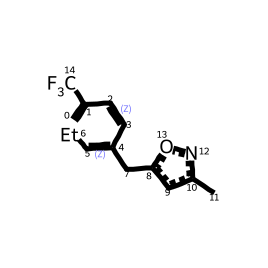 C=C(/C=C\C(=C/CC)Cc1cc(C)no1)C(F)(F)F